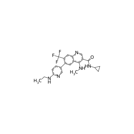 CCNc1ccc(-c2cc3c(NC)c(C(=O)NC4CC4)cnc3cc2C(F)(F)F)cn1